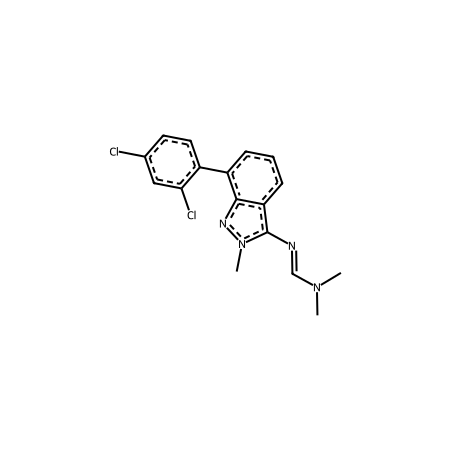 CN(C)/C=N/c1c2cccc(-c3ccc(Cl)cc3Cl)c2nn1C